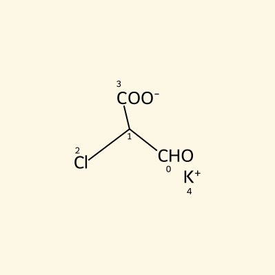 O=CC(Cl)C(=O)[O-].[K+]